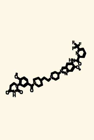 COc1cc2nn(C3CCN(CCC4CCN(C(=O)c5ccc(OC)c(N6CCC(=O)NC6=O)c5)CC4)CC3)cc2cc1NC(=O)c1cccc(C(F)(F)F)n1